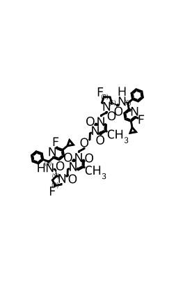 Cc1cn(CC(=O)N2C[C@H](F)C[C@H]2C(=O)N[C@@H](c2ccccc2)c2ccc(C3CC3)c(F)n2)c(=O)n(CCOCCn2c(=O)c(C)cn(CC(=O)N3C[C@H](F)C[C@H]3C(=O)N[C@@H](c3ccccc3)c3ccc(C4CC4)c(F)n3)c2=O)c1=O